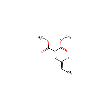 C/C=C(\C)C=C(C(=O)OC)C(=O)OC